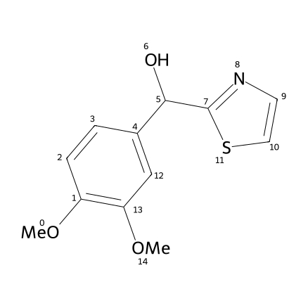 COc1ccc(C(O)c2nccs2)cc1OC